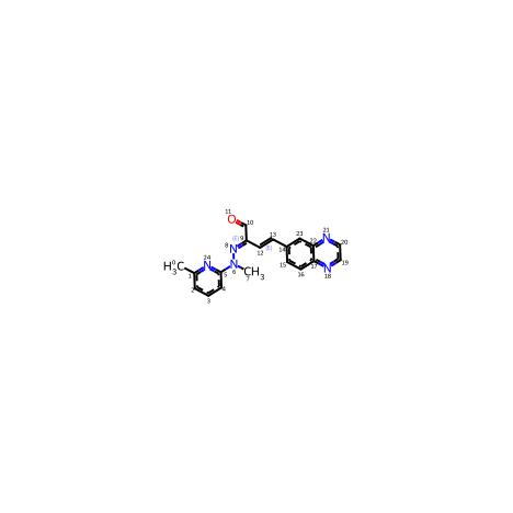 Cc1cccc(N(C)/N=C(C=O)\C=C\c2ccc3nccnc3c2)n1